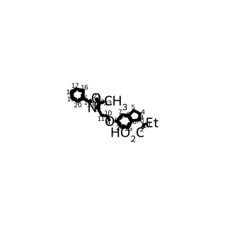 CCC(C(=O)O)[C@H]1CCc2cc(OCCc3nc(-c4ccccc4)oc3C)ccc21